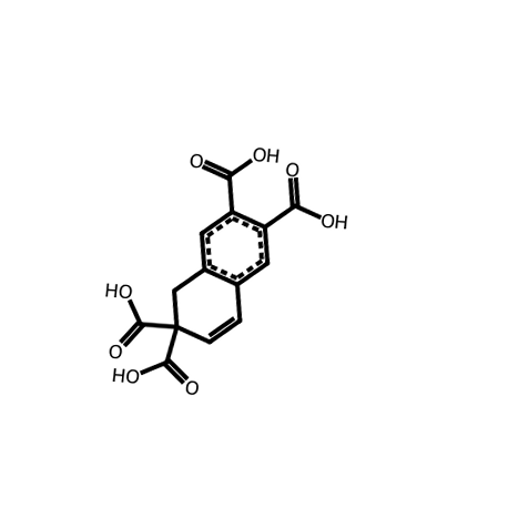 O=C(O)c1cc2c(cc1C(=O)O)CC(C(=O)O)(C(=O)O)C=C2